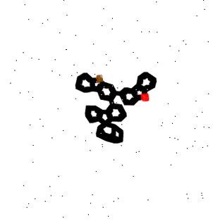 c1ccc2c(c1)-c1c(-c3cc4c(cc3-c3ccc5oc6ccccc6c5c3)sc3ccccc34)cccc1C21C2CC3CC(C2)CC1C3